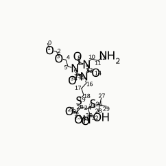 COCOCCn1c(=O)n(CCN)c(=O)n(CCCSC(C(=O)O)C(SC(C)(C)C)C(=O)O)c1=O